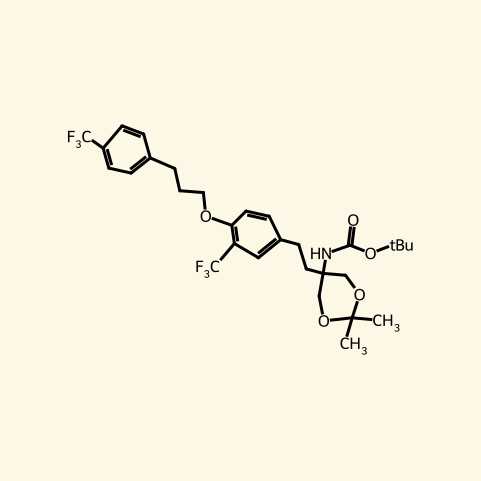 CC(C)(C)OC(=O)NC1(CCc2ccc(OCCCc3ccc(C(F)(F)F)cc3)c(C(F)(F)F)c2)COC(C)(C)OC1